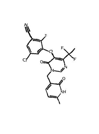 Cc1ccc(Cn2cnc(C(C)(F)F)c(Oc3cc(Cl)cc(C#N)c3F)c2=O)c(=O)[nH]1